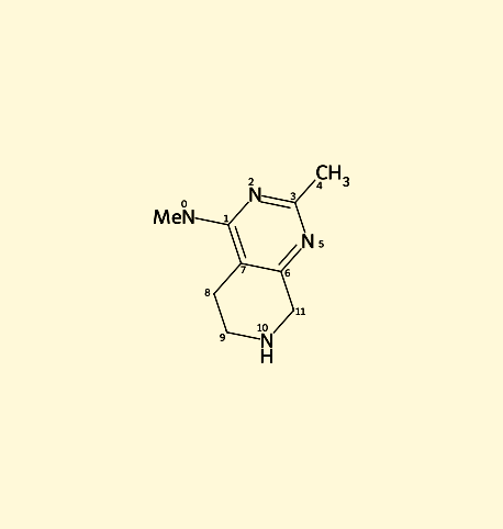 CNc1nc(C)nc2c1CCNC2